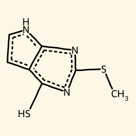 CSc1nc(S)c2cc[nH]c2n1